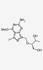 COc1nc(N)nc2c1c(I)nn2CO[C@H](CO)C(C)O